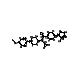 CCc1cnc(N2CCC(N(C(=O)c3ccc(-n4ccnc4C)cc3)C3CC3)CC2)nc1